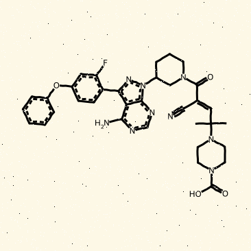 CC(C)(C=C(C#N)C(=O)N1CCCC(n2nc(-c3ccc(Oc4ccccc4)cc3F)c3c(N)ncnc32)C1)N1CCN(C(=O)O)CC1